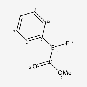 COC(=O)B(F)c1ccccc1